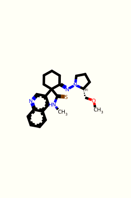 CNC(=S)C1(c2cnc3ccccc3c2)CCCCC1=NN1CCC[C@@H]1COC